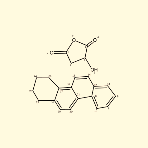 O=C1CC(O)C(=O)O1.c1ccc2c(c1)ccc1c3c(ccc12)CCCC3